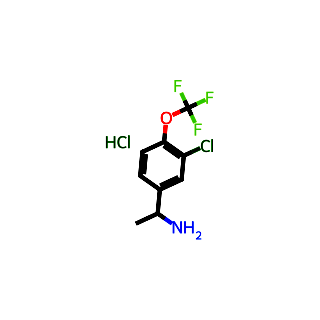 CC(N)c1ccc(OC(F)(F)F)c(Cl)c1.Cl